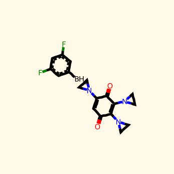 Bc1cc(F)cc(F)c1.O=C1C=C(N2CC2)C(=O)C(N2CC2)=C1N1CC1